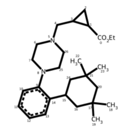 CCOC(=O)C1CC1CN1CCN(c2ccccc2C2CC(C)(C)CC(C)(C)C2)CC1